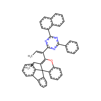 C=CC1=C(/C(=C\C)c2nc(-c3ccccc3)nc(-c3cccc4ccccc34)n2)Oc2ccccc2C12c1ccccc1-c1ccccc12